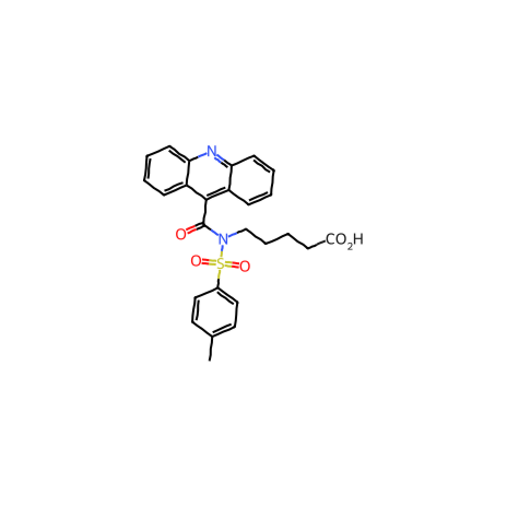 Cc1ccc(S(=O)(=O)N(CCCCC(=O)O)C(=O)c2c3ccccc3nc3ccccc23)cc1